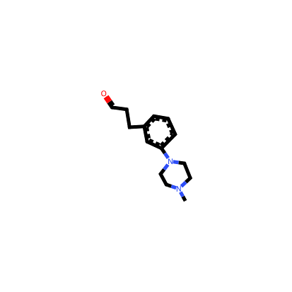 CN1CCN(c2cccc(CCC=O)c2)CC1